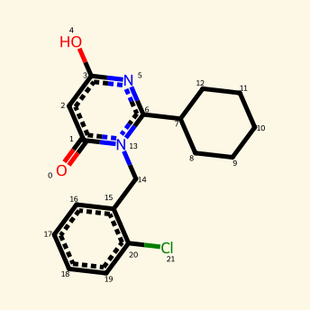 O=c1cc(O)nc(C2CCCCC2)n1Cc1ccccc1Cl